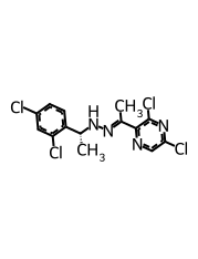 C/C(=N\N[C@H](C)c1ccc(Cl)cc1Cl)c1ncc(Cl)nc1Cl